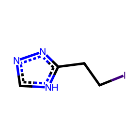 ICCc1nnc[nH]1